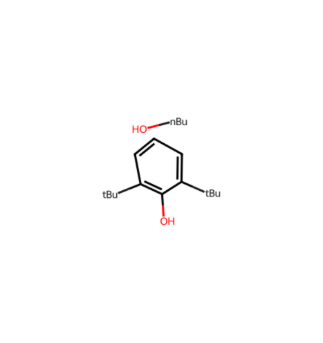 CC(C)(C)c1cccc(C(C)(C)C)c1O.CCCCO